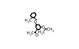 CC(=O)c1cc(OCc2ccccc2C)cc(OC(C)C)c1